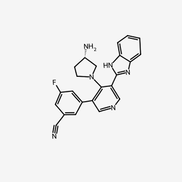 N#Cc1cc(F)cc(-c2cncc(-c3nc4ccccc4[nH]3)c2N2CC[C@H](N)C2)c1